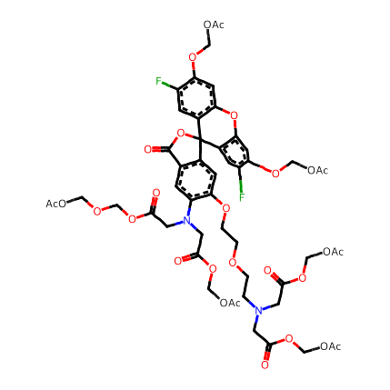 CC(=O)OCOCOC(=O)CN(CC(=O)OCOC(C)=O)c1cc2c(cc1OCCOCCN(CC(=O)OCOC(C)=O)CC(=O)OCOC(C)=O)C1(OC2=O)c2cc(F)c(OCOC(C)=O)cc2Oc2cc(OCOC(C)=O)c(F)cc21